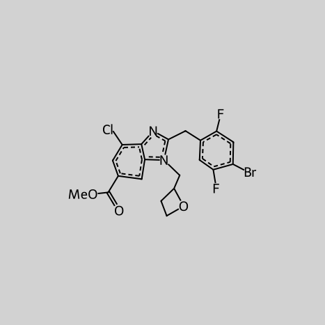 COC(=O)c1cc(Cl)c2nc(Cc3cc(F)c(Br)cc3F)n(CC3CCO3)c2c1